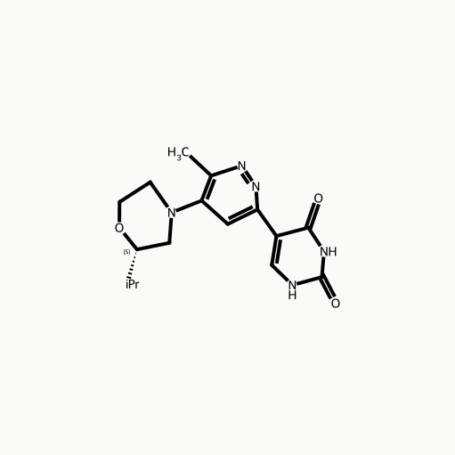 Cc1nnc(-c2c[nH]c(=O)[nH]c2=O)cc1N1CCO[C@@H](C(C)C)C1